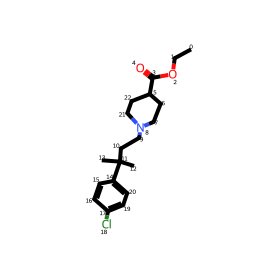 CCOC(=O)C1CCN(CCC(C)(C)c2ccc(Cl)cc2)CC1